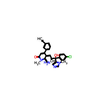 C#Cc1cccc(-c2cc(=O)n(C)c(=C/N)/c2=C\C(=C)[C@](O)(c2ccc(Cl)cc2)c2cncn2C)c1